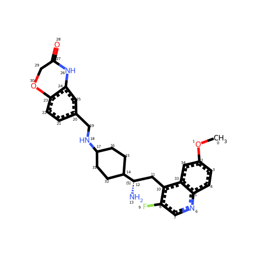 COc1ccc2ncc(F)c(C[C@H](N)C3CCC(NCc4ccc5c(c4)NC(=O)CO5)CC3)c2c1